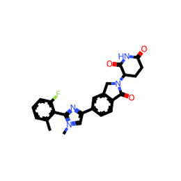 Cc1cccc(F)c1-c1nc(-c2ccc3c(c2)CN(C2CCC(=O)NC2=O)C3=O)cn1C